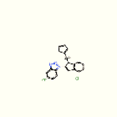 C1=CC[C]([Zr+2][CH]2C(n3nnc4ccccc43)=Cc3ccccc32)=C1.[Cl-].[Cl-]